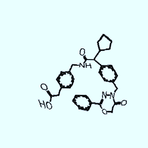 O=C(O)Cc1ccc(CNC(=O)C(c2ccc(CN3N=C(c4ccccc4)OCC3=O)cc2)C2CCCC2)cc1